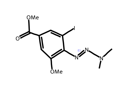 COC(=O)c1cc(I)c(/N=N/N(C)C)c(OC)c1